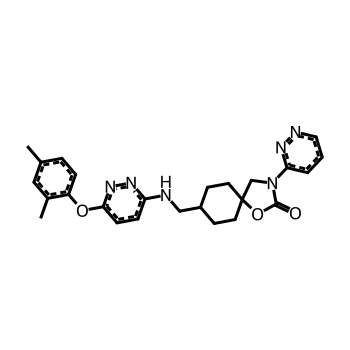 Cc1ccc(Oc2ccc(NCC3CCC4(CC3)CN(c3cccnn3)C(=O)O4)nn2)c(C)c1